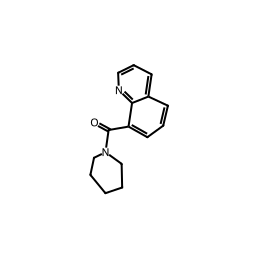 O=C(c1cccc2cccnc12)N1CCCCC1